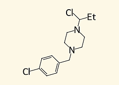 CCC(Cl)N1CCN(Cc2ccc(Cl)cc2)CC1